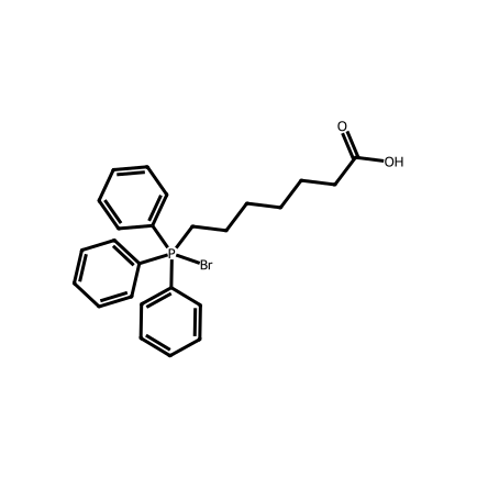 O=C(O)CCCCCCP(Br)(c1ccccc1)(c1ccccc1)c1ccccc1